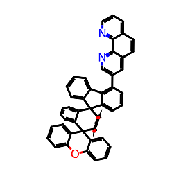 c1ccc2c(c1)Oc1ccccc1C21c2ccccc2C2(c3ccccc3-c3c(-c4cnc5c(ccc6cccnc65)c4)cccc32)c2ccccc21